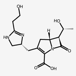 C[C@@H](O)[C@H]1C(=O)N2C(C(=O)O)=C(C[C@@H]3CNC(CCO)=N3)C[C@H]12